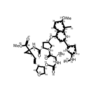 C=CC1C[C@]1(NC(=O)[C@@H]1C[C@@H](Oc2cc(-c3csc(NC(C)C)n3)nc3c(C)c(OC)ccc23)CN1C(=O)[C@@H](NC(=O)O[C@H]1CCOC1)C(C)(C)C)C(=O)OC